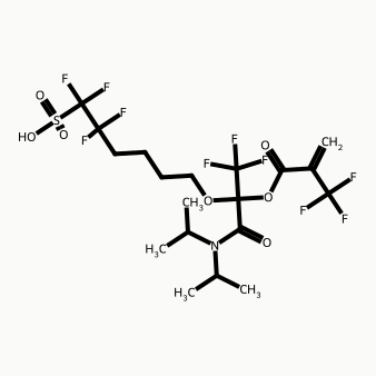 C=C(C(=O)OC(OCCCCC(F)(F)C(F)(F)S(=O)(=O)O)(C(=O)N(C(C)C)C(C)C)C(F)(F)F)C(F)(F)F